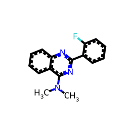 CN(C)c1nc(-c2ccccc2F)nc2ccccc12